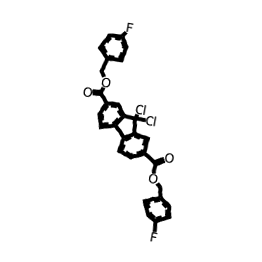 O=C(OCc1ccc(F)cc1)c1ccc2c(c1)C(Cl)(Cl)c1cc(C(=O)OCc3ccc(F)cc3)ccc1-2